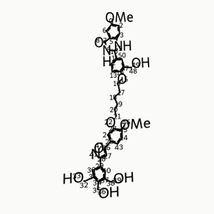 COc1ccc2c(c1)C(=O)NC(c1ccc(OCCCCCCOc3cc(-c4cc(-c5cc(CO)c(CO)c(CO)c5)no4)ccc3OC)c(CO)c1)N2